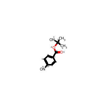 CC(C)(N=O)OC(=O)c1ccc(N=O)cc1